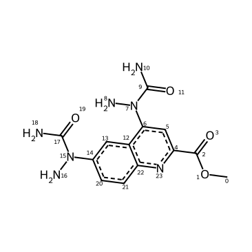 COC(=O)c1cc(N(N)C(N)=O)c2cc(N(N)C(N)=O)ccc2n1